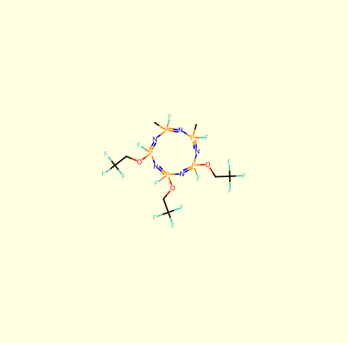 CP1(F)=NP(C)(F)=NP(F)(OCC(F)(F)F)=NP(F)(OCC(F)(F)F)=NP(F)(OCC(F)(F)F)=N1